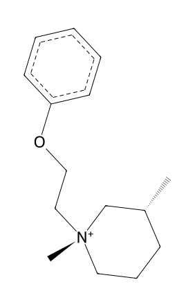 C[C@@H]1CCC[N@+](C)(CCOc2ccccc2)C1